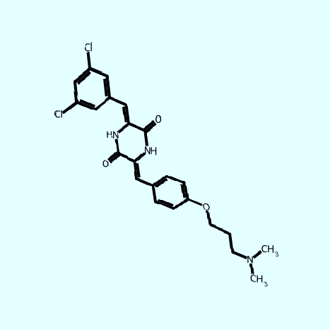 CN(C)CCCOc1ccc(C=c2[nH]c(=O)c(=Cc3cc(Cl)cc(Cl)c3)[nH]c2=O)cc1